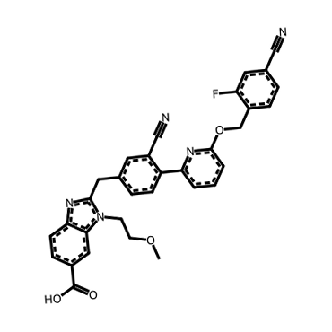 COCCn1c(Cc2ccc(-c3cccc(OCc4ccc(C#N)cc4F)n3)c(C#N)c2)nc2ccc(C(=O)O)cc21